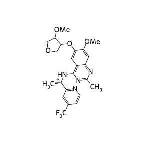 COc1cc2nc(C)nc(N[C@H](C)c3cc(C(F)(F)F)ccn3)c2cc1OC1COCC1OC